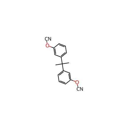 CC(C)(c1cccc(OC#N)c1)c1cccc(OC#N)c1